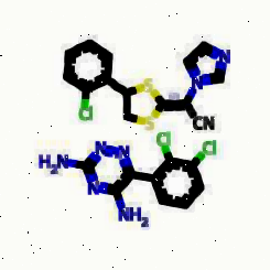 N#C/C(=C1\SCC(c2ccccc2Cl)S1)n1ccnc1.Nc1nnc(-c2cccc(Cl)c2Cl)c(N)n1